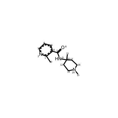 Cc1ncccc1C(=O)NC1(C)CCN(C)CC1